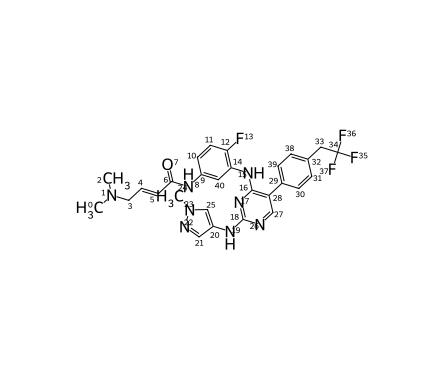 CN(C)C/C=C/C(=O)Nc1ccc(F)c(Nc2nc(Nc3cnn(C)c3)ncc2-c2ccc(CC(F)(F)F)cc2)c1